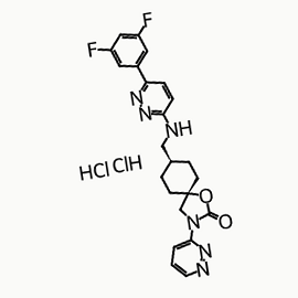 Cl.Cl.O=C1O[C@]2(CC[C@H](CNc3ccc(-c4cc(F)cc(F)c4)nn3)CC2)CN1c1cccnn1